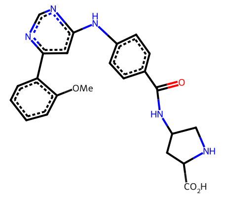 COc1ccccc1-c1cc(Nc2ccc(C(=O)NC3CNC(C(=O)O)C3)cc2)ncn1